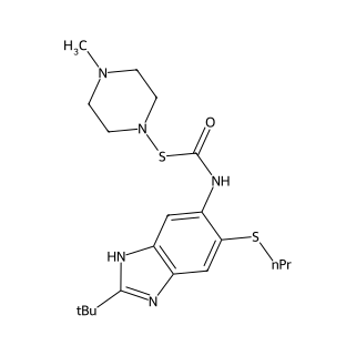 CCCSc1cc2nc(C(C)(C)C)[nH]c2cc1NC(=O)SN1CCN(C)CC1